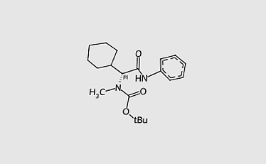 CN(C(=O)OC(C)(C)C)[C@@H](C(=O)Nc1ccccc1)C1CCCCC1